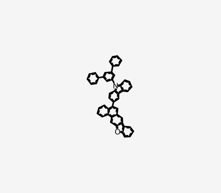 c1ccc(-c2cc(-c3ccccc3)cc(-n3c4ccccc4c4cc(-c5cc6cc7c(cc6c6ccccc56)oc5ccccc57)ccc43)c2)cc1